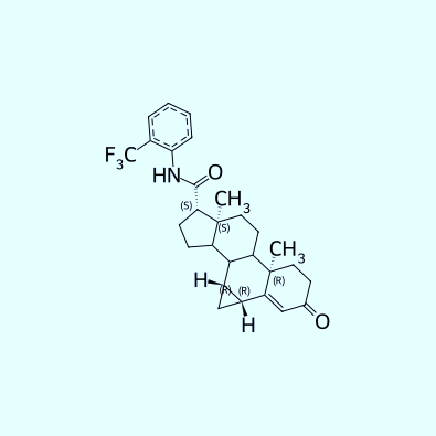 C[C@]12CCC(=O)C=C1[C@@H]1C[C@@H]1C1C2CC[C@@]2(C)C1CC[C@@H]2C(=O)Nc1ccccc1C(F)(F)F